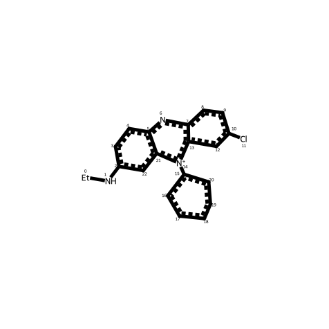 CCNc1ccc2nc3ccc(Cl)cc3[n+](-c3ccccc3)c2c1